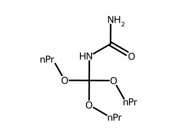 CCCOC(NC(N)=O)(OCCC)OCCC